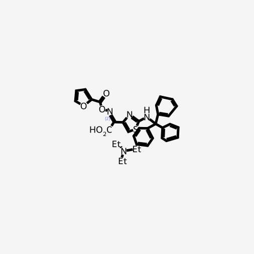 CCN(CC)CC.O=C(O)/C(=N\OC(=O)c1ccco1)c1csc(NC(c2ccccc2)(c2ccccc2)c2ccccc2)n1